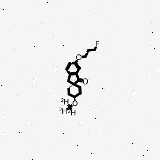 [2H]C([2H])([2H])O[C@H]1CC[C@]2(CC1)Cc1ccc(OCCCF)cc1C2=O